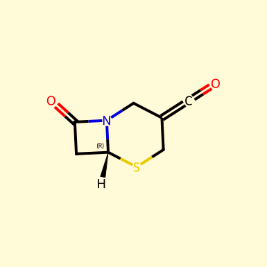 O=C=C1CS[C@@H]2CC(=O)N2C1